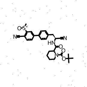 C[S+]([O-])c1cc(-c2ccc(C[C@@H](C#N)NC(=O)C3CCCCN3C(=O)OC(C)(C)C)cc2)ccc1C#N